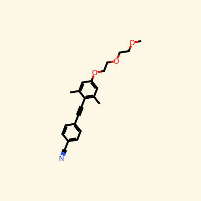 COCCOCCOc1cc(C)c(C#Cc2ccc(C#N)cc2)c(C)c1